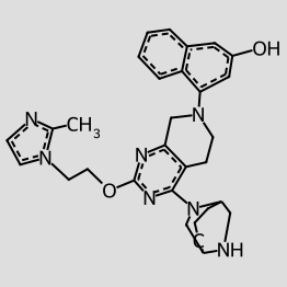 Cc1nccn1CCOc1nc2c(c(N3CC4CCCC3CN4)n1)CCN(c1cc(O)cc3ccccc13)C2